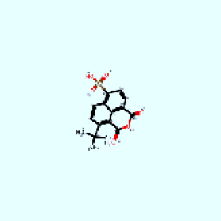 CC(C)(C)c1ccc2c(S(=O)(=O)O)ccc3c2c1C(=O)OC3=O